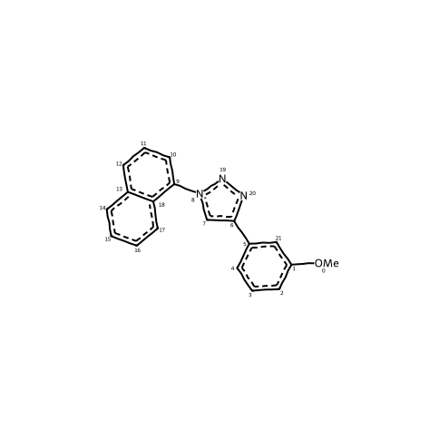 COc1cccc(-c2cn(-c3cccc4ccccc34)nn2)c1